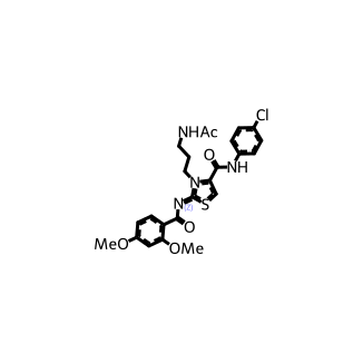 COc1ccc(C(=O)/N=c2\scc(C(=O)Nc3ccc(Cl)cc3)n2CCCNC(C)=O)c(OC)c1